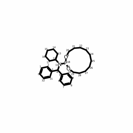 c1ccc(C(c2ccccc2)N(C2CCCCC2)P2OCCCCCCCCCCO2)cc1